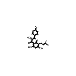 CC(C)=CCc1c(O)cc(O)c2c(=O)c(O)c(-c3ccc(O)cc3)oc12